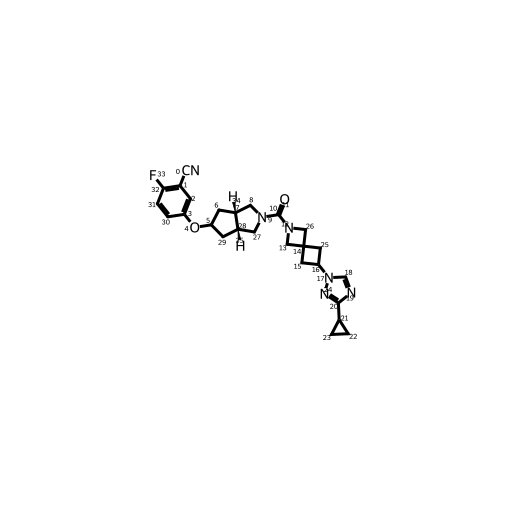 N#Cc1cc(OC2C[C@@H]3CN(C(=O)N4CC5(CC(n6cnc(C7CC7)n6)C5)C4)C[C@@H]3C2)ccc1F